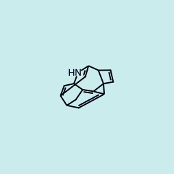 C1=CC23C4=CC5CC(=C42)C2C=C5C=C(N2)C13